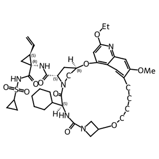 C=C[C@@H]1C[C@]1(NC(=O)[C@@H]1C[C@@H]2CN1C(=O)[C@H](C1CCCCC1)NC(=O)N1CC(C1)OCCCCc1cc3c(cc(OCC)nc3cc1OC)O2)C(=O)NS(=O)(=O)C1CC1